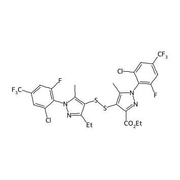 CCOC(=O)c1nn(-c2c(F)cc(C(F)(F)F)cc2Cl)c(C)c1SSc1c(CC)nn(-c2c(F)cc(C(F)(F)F)cc2Cl)c1C